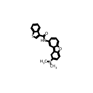 CN(C)C1=CC=c2oc3c(c2C1)C=C(NC(=O)c1csc2ccccc12)C=CC=3